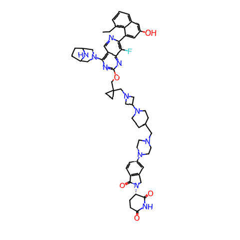 CCc1cccc2cc(O)cc(-c3ncc4c(N5CC6CCC(C5)N6)nc(OCC5(CN6CC(N7CCC(CN8CCN(c9ccc%10c(c9)CN([C@H]9CCC(=O)NC9=O)C%10=O)CC8)CC7)C6)CC5)nc4c3F)c12